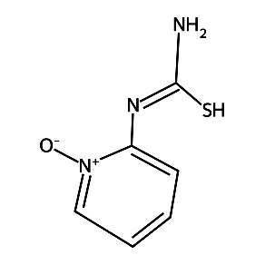 NC(S)=Nc1cccc[n+]1[O-]